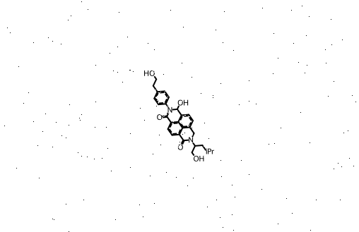 CC(C)CC(CO)N1Cc2ccc3c4c(ccc(c24)C1=O)C(=O)N(c1ccc(CCO)cc1)C3O